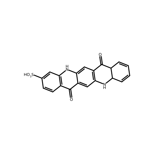 O=C1c2cc3[nH]c4cc(S(=O)(=O)O)ccc4c(=O)c3cc2NC2C=CC=CC12